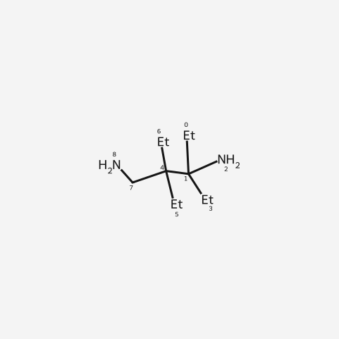 CCC(N)(CC)C(CC)(CC)CN